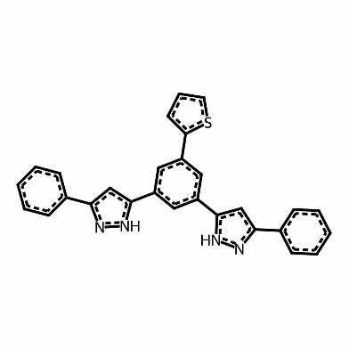 c1ccc(-c2cc(-c3cc(-c4cc(-c5ccccc5)n[nH]4)cc(-c4cccs4)c3)[nH]n2)cc1